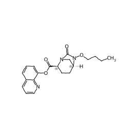 CCCCON1C(=O)N2C[C@@H]1CC[C@H]2C(=O)Oc1cccc2cccnc12